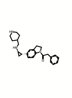 O=C(Cc1ccccc1)N1CCc2cc([C@@H]3C[C@H]3NCC3CCNCC3)ccc21